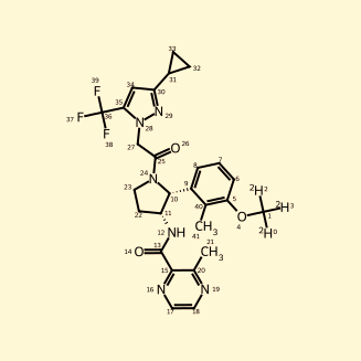 [2H]C([2H])([2H])Oc1cccc([C@@H]2[C@H](NC(=O)c3nccnc3C)CCN2C(=O)Cn2nc(C3CC3)cc2C(F)(F)F)c1C